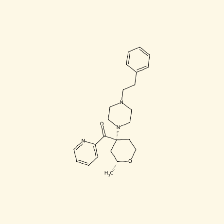 C[C@@H]1C[C@](C(=O)c2ccccn2)(N2CCN(CCc3ccccc3)CC2)CCO1